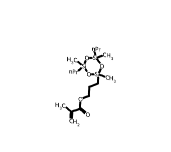 C=C(C)C(=O)OCCC[Si]1(C)O[Si](C)(CCC)O[Si](C)(CCC)O1